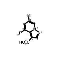 O=C(O)c1cnn2cc(Br)cc(F)c12